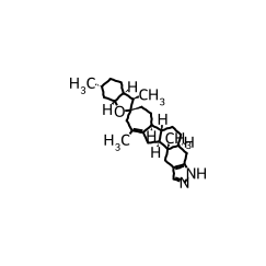 CC1=C2C[C@H]3[C@@H](CC[C@H]4Cc5[nH]ncc5C[C@@]43C)[C@@H]2CC[C@@]2(C1)O[C@@H]1C[C@H](C)CC[C@H]1[C@H]2C